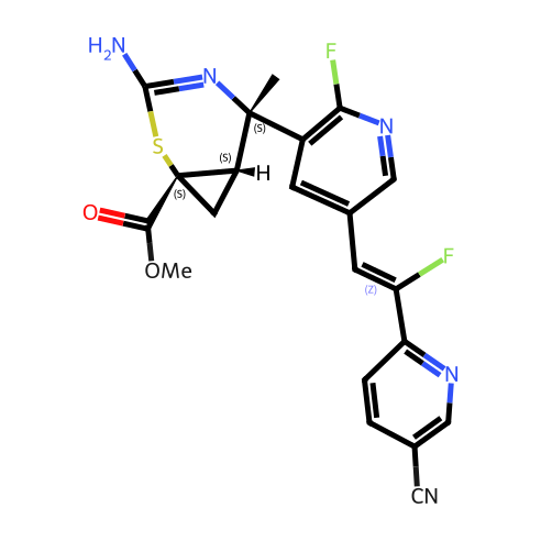 COC(=O)[C@]12C[C@H]1[C@@](C)(c1cc(/C=C(\F)c3ccc(C#N)cn3)cnc1F)N=C(N)S2